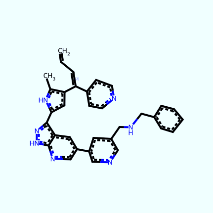 C=C/C=C(/c1ccncc1)c1cc(-c2n[nH]c3ncc(-c4cncc(CNCc5ccccc5)c4)cc23)[nH]c1C